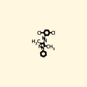 Cc1nn(-c2ccccc2)c(C)c1/N=N/c1cc(Cl)ccc1Cl